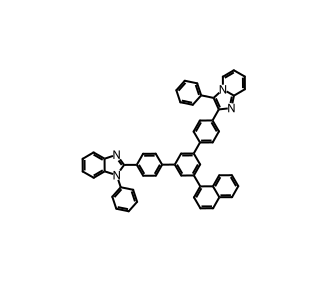 c1ccc(-c2c(-c3ccc(-c4cc(-c5ccc(-c6nc7ccccc7n6-c6ccccc6)cc5)cc(-c5cccc6ccccc56)c4)cc3)nc3ccccn23)cc1